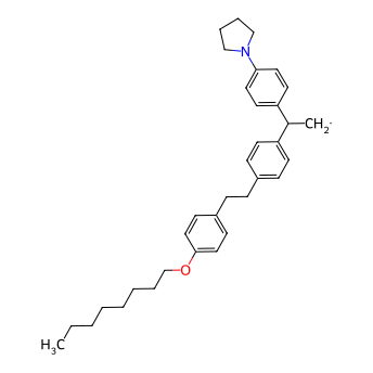 [CH2]C(c1ccc(CCc2ccc(OCCCCCCCC)cc2)cc1)c1ccc(N2CCCC2)cc1